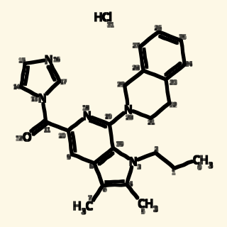 CCCn1c(C)c(C)c2cc(C(=O)n3ccnc3)nc(N3CCc4ccccc4C3)c21.Cl